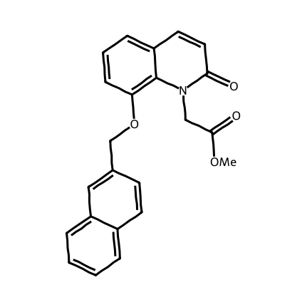 COC(=O)Cn1c(=O)ccc2cccc(OCc3ccc4ccccc4c3)c21